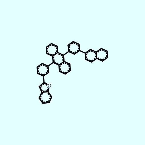 c1cc(-c2ccc3ccccc3c2)cc(-c2c3ccccc3c(-c3cccc(-c4cc5ccccc5o4)c3)c3ccccc23)c1